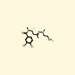 C/C(C[C@@H](C)N(C)C(=O)c1ccc(Cl)c(Cl)c1)=N\N(C)CCN